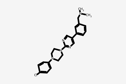 CN(C)Cc1cccc(-c2cnc(N3CCN(c4ccc(Cl)cc4)CC3)nc2)c1